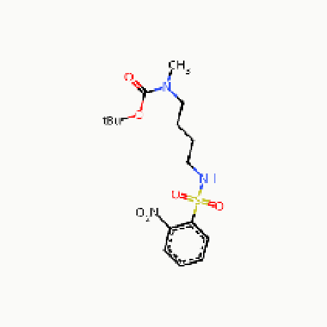 CN(CCCCNS(=O)(=O)c1ccccc1[N+](=O)[O-])C(=O)OC(C)(C)C